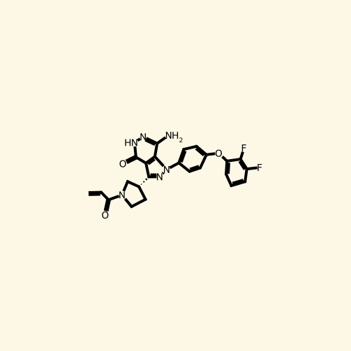 C=CC(=O)N1CC[C@@H](c2nn(-c3ccc(Oc4cccc(F)c4F)cc3)c3c(N)n[nH]c(=O)c23)C1